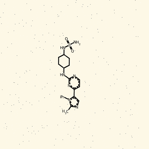 Cc1ncc(-c2ccnc(NC3CCC(NS(N)(=O)=O)CC3)n2)n1C(C)C